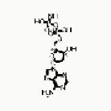 N=P(O)(O)OP(=O)(O)OC[C@H]1O[C@@H](n2cnc3c(N)ncnc32)C[C@@H]1O